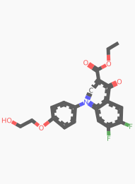 CCOC(=O)c1cn(-c2ccc(OCCO)cc2)c2cc(F)c(F)cc2c1=O